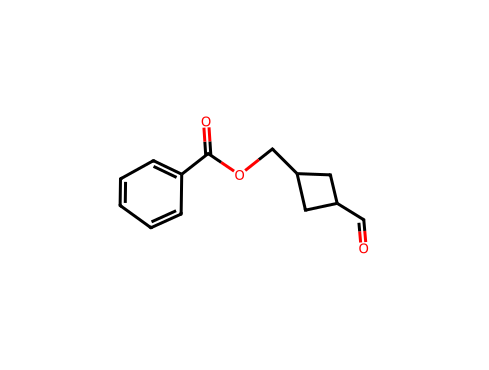 O=CC1CC(COC(=O)c2ccccc2)C1